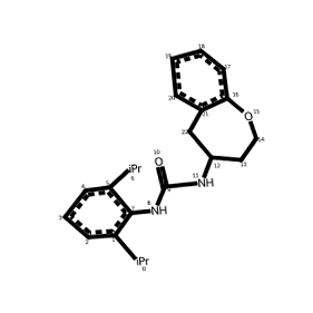 CC(C)c1cccc(C(C)C)c1NC(=O)NC1CCOc2ccccc2C1